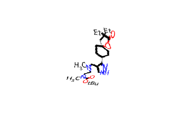 CCC1(CC)C[C@]2(CC[C@@H](c3n[nH]cc3CN(C)CCN(C)C(=O)OC(C)(C)C)CC2)OC1=O